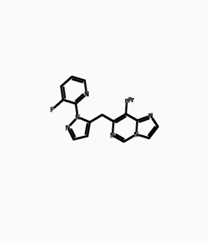 CCCc1c(Cc2ccnn2-c2ncccc2F)ncn2ccnc12